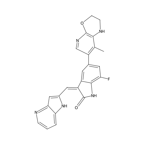 Cc1c(-c2cc(F)c3c(c2)C(=Cc2cc4ncccc4[nH]2)C(=O)N3)cnc2c1NCCO2